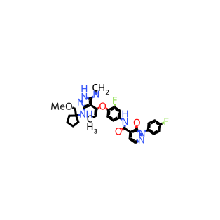 C=Nc1[nH]nc(NC2(COC)CCCC2)c1/C(=C\C)Oc1ccc(NC(=O)c2ccnn(-c3ccc(F)cc3)c2=O)cc1F